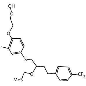 CSCOC(CCc1ccc(C(F)(F)F)cc1)CSc1ccc(OCCOO)c(C)c1